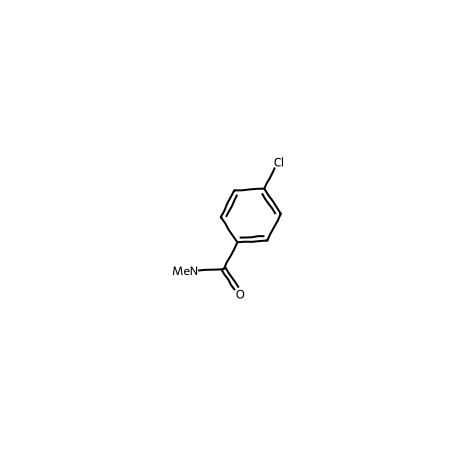 [CH2]NC(=O)c1ccc(Cl)cc1